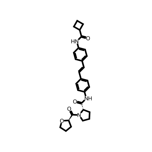 O=C(Nc1ccc(/C=C/c2ccc(NC(=O)[C@@H]3CCCN3C(=O)[C@H]3CCCO3)cc2)cc1)C1CCC1